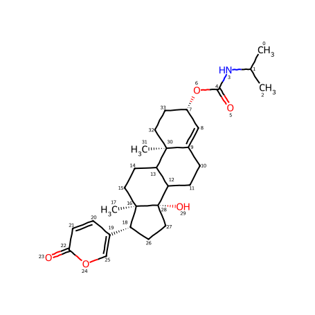 CC(C)NC(=O)O[C@@H]1C=C2CCC3C(CC[C@]4(C)[C@@H](c5ccc(=O)oc5)CC[C@]34O)[C@@]2(C)CC1